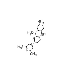 CC1c2nc(N3C[C@@H](C)O[C@@H](C)C3)ccc2NC2CCC(N)CC21